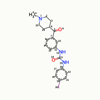 CN1CCC(C(=O)c2cccc(NC(=O)Nc3ccc(I)cc3)c2)CC1